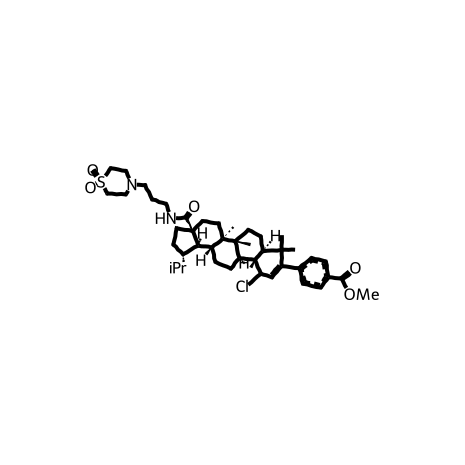 COC(=O)c1ccc(C2=CC(Cl)[C@]3(C)[C@H]4CC[C@@H]5[C@H]6[C@H](C(C)C)CC[C@]6(C(=O)NCCCN6CCS(=O)(=O)CC6)CC[C@@]5(C)[C@]4(C)CC[C@H]3C2(C)C)cc1